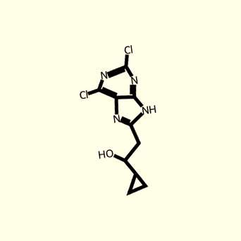 OC(Cc1nc2c(Cl)nc(Cl)nc2[nH]1)C1CC1